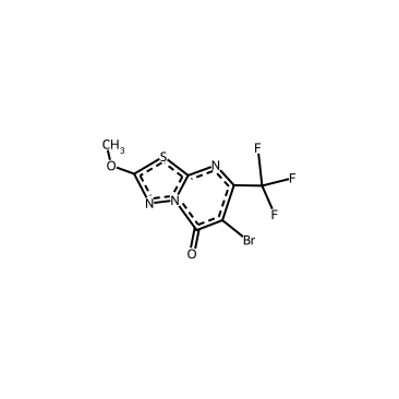 COc1nn2c(=O)c(Br)c(C(F)(F)F)nc2s1